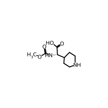 COC(=O)N[C@H](C(=O)O)C1CCNCC1